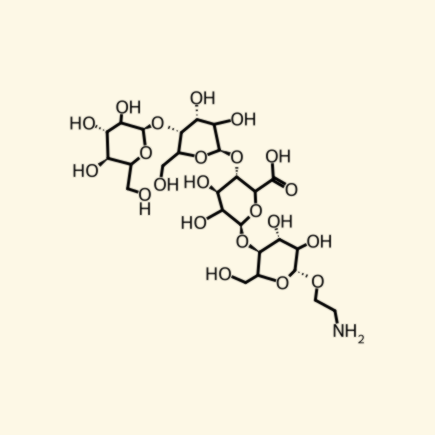 NCCO[C@@H]1OC(CO)[C@@H](O[C@@H]2OC(C(=O)O)[C@@H](O[C@H]3OC(CO)[C@H](O[C@H]4OC(CO)[C@@H](O)[C@H](O)C4O)[C@H](O)C3O)[C@H](O)C2O)[C@H](O)C1O